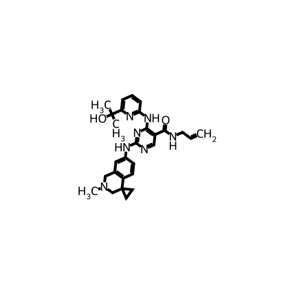 C=CCNC(=O)c1cnc(Nc2ccc3c(c2)CN(C)CC32CC2)nc1Nc1cccc(C(C)(C)O)n1